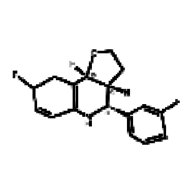 Fc1cccc([C@H]2NC3=C(CC(F)C=C3)[C@@H]3OCC[C@H]23)c1